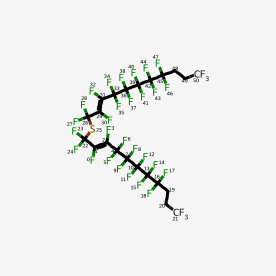 FC(=C(F)C(F)(F)C(F)(F)C(F)(F)C(F)(F)C(F)(F)CCC(F)(F)F)C(F)(F)SC(F)(F)C(F)=C(F)C(F)(F)C(F)(F)C(F)(F)C(F)(F)C(F)(F)CCC(F)(F)F